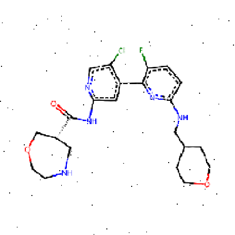 O=C(Nc1cc(-c2nc(NCC3CCOCC3)ccc2F)c(Cl)cn1)[C@@H]1CNCCOC1